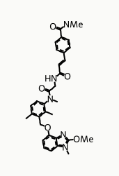 CNC(=O)c1ccc(C=CC(=O)NCC(=O)N(C)c2ccc(C)c(COc3cccc4c3nc(OC)n4C)c2C)cc1